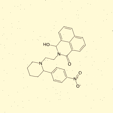 O=C1c2cccc3cccc(c23)C(O)N1CCN1CCCCC1c1ccc([N+](=O)[O-])cc1